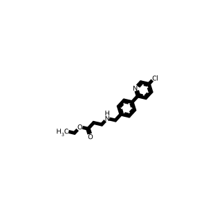 CCOC(=O)CCNCc1ccc(-c2ccc(Cl)cn2)cc1